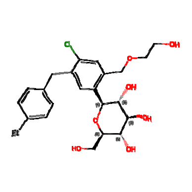 CCc1ccc(Cc2cc([C@@H]3O[C@H](CO)[C@@H](O)[C@H](O)[C@H]3O)c(COCCO)cc2Cl)cc1